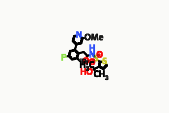 COc1cc(-c2cc(F)cc(C(C)C)c2CC(=O)NS(=O)(=O)c2sccc2C(C)(C)O)ccn1